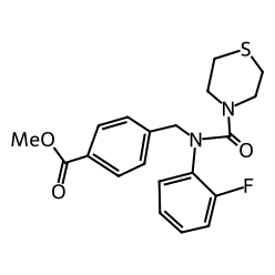 COC(=O)c1ccc(CN(C(=O)N2CCSCC2)c2ccccc2F)cc1